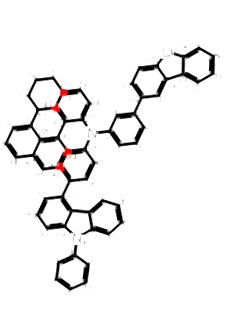 c1ccc(-n2c3ccccc3c3c(-c4ccc(N(c5cccc(-c6ccc7oc8ccccc8c7c6)c5)c5ccccc5-c5cccc6cccc(C7CCCCC7)c56)cc4)cccc32)cc1